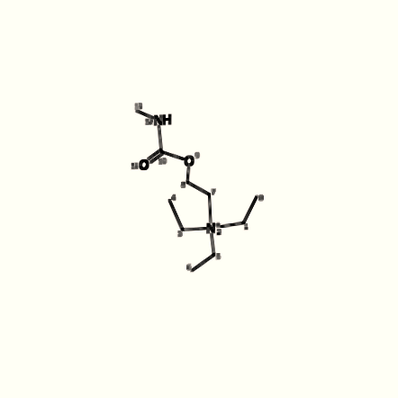 CC[N+](CC)(CC)CCOC(=O)NC